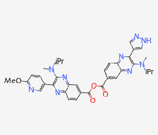 COc1ccc(-c2nc3ccc(C(=O)OC(=O)c4ccc5nc(-c6cn[nH]c6)c(N(C)C(C)C)nc5c4)cc3nc2N(C)C(C)C)cn1